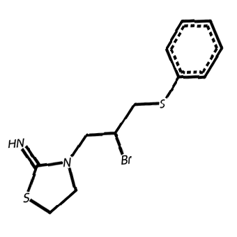 N=C1SCCN1CC(Br)CSc1ccccc1